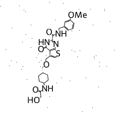 COc1cccc(CNC(=O)c2nc3scc(COC[C@H]4CC[C@H](NC(=O)CO)CC4)c3c(=O)[nH]2)c1